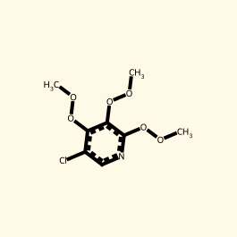 COOc1n[c]c(Cl)c(OOC)c1OOC